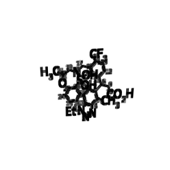 CCn1nnc2c(C)c(C(CC(=O)O)c3ccc(C(F)(F)F)c(CN4CC(C)Oc5ccccc5S4(O)O)c3)ccc21